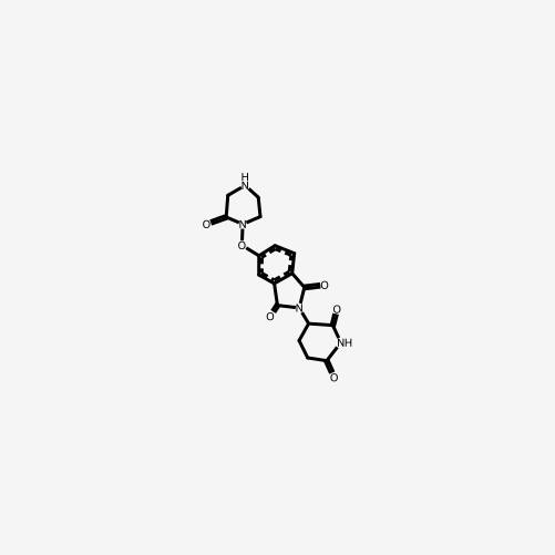 O=C1CCC(N2C(=O)c3ccc(ON4CCNCC4=O)cc3C2=O)C(=O)N1